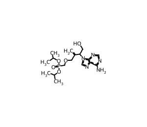 C=C(COCP(=O)(OC(C)C)OC(C)C)C(CO)n1cnc2c(N)ncnc21